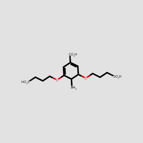 BC1C(OCCCS(=O)(=O)O)=CC(C(=O)O)=CC1OCCCS(=O)(=O)O